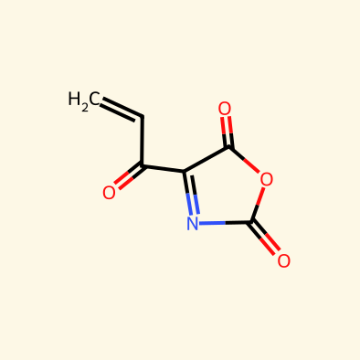 C=CC(=O)C1=NC(=O)OC1=O